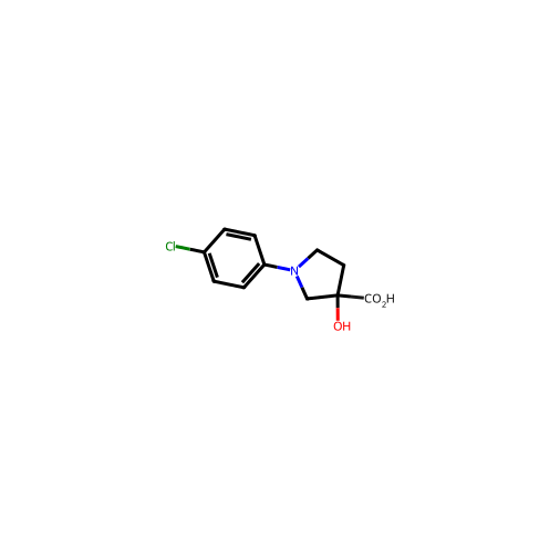 O=C(O)C1(O)CCN(c2ccc(Cl)cc2)C1